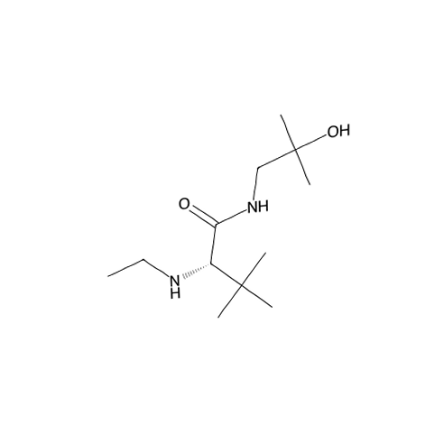 CCN[C@H](C(=O)NCC(C)(C)O)C(C)(C)C